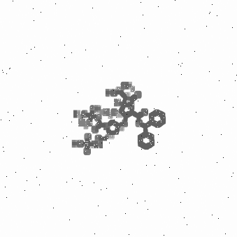 C[C@@H](O)[C@H]1C(=O)N2C(C(=O)OC(c3ccccc3)c3ccccc3)=C(S[C@H]3C[C@H](CONS(=O)(=O)O)N(C(=O)OC(C)(C)C)C3)[C@H](C)[C@H]12